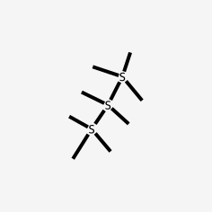 CS(C)(C)S(C)(C)S(C)(C)C